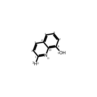 [3H]c1ccc2cccc(O)c2n1